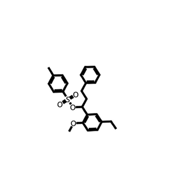 CCc1ccc(OC)c(C(CCc2ccccc2)OS(=O)(=O)c2ccc(C)cc2)c1